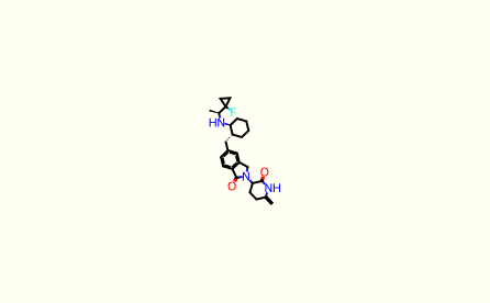 C=C1CCC(N2Cc3cc(C[C@H]4CCCC[C@@H]4N[C@@H](C)C4(F)CC4)ccc3C2=O)C(=O)N1